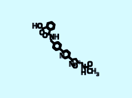 CC(=O)NC[C@@H]1CC(c2ccc(-c3ccc(CNC(=O)c4ccccc4C(=O)O)cc3)nc2)=NO1